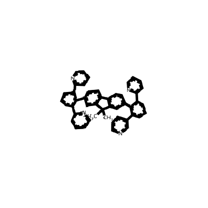 CC1(C)c2cc(-c3c(-c4cccnc4)cccc3-c3ccccn3)ccc2-c2ccc(-c3c(-c4ccccn4)cccc3-c3ccccn3)cc21